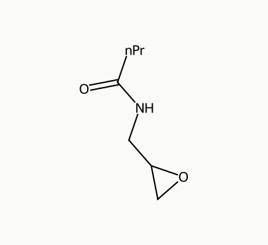 CCCC(=O)NCC1CO1